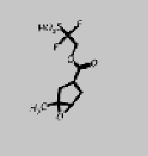 CC12CC(C(=O)OCC(F)(F)S(=O)(=O)O)CC1O2